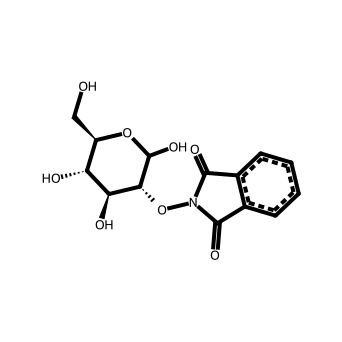 O=C1c2ccccc2C(=O)N1O[C@H]1C(O)O[C@H](CO)[C@@H](O)[C@@H]1O